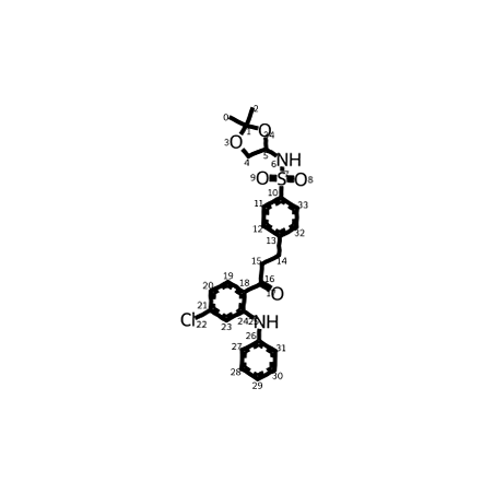 CC1(C)OCC(NS(=O)(=O)c2ccc(CCC(=O)c3ccc(Cl)cc3Nc3ccccc3)cc2)O1